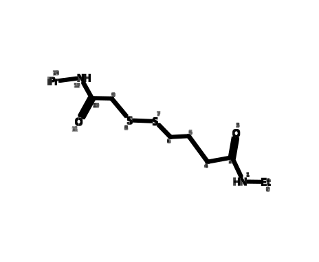 CCNC(=O)CCCSSCC(=O)NC(C)C